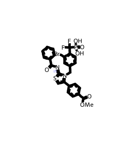 COC(=O)c1ccc(-c2cs/c(=N\C(=O)c3ccccc3)n2Cc2ccc(C(F)(F)P(=O)(O)O)c(Br)c2)cc1